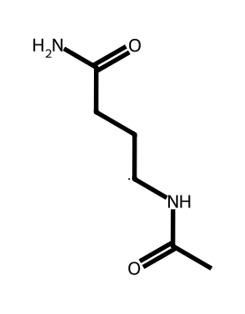 CC(=O)N[CH]CCC(N)=O